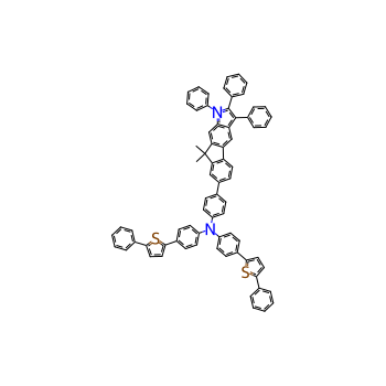 CC1(C)c2cc(-c3ccc(N(c4ccc(-c5ccc(-c6ccccc6)s5)cc4)c4ccc(-c5ccc(-c6ccccc6)s5)cc4)cc3)ccc2-c2cc3c(-c4ccccc4)c(-c4ccccc4)n(-c4ccccc4)c3cc21